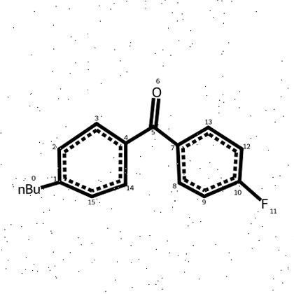 CCCCc1ccc(C(=O)c2ccc(F)cc2)cc1